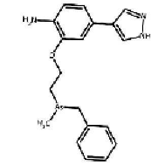 C[As](CCOc1cc(-c2cn[nH]c2)ccc1N)Cc1ccccc1